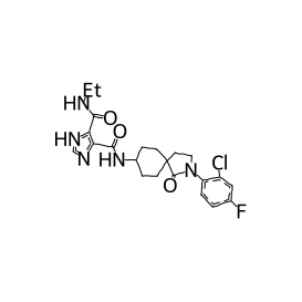 CCNC(=O)c1[nH]cnc1C(=O)NC1CCC2(CC1)CCN(c1ccc(F)cc1Cl)C2=O